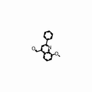 COc1cccc2c(C=O)cc(-c3ccccc3)nc12